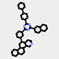 c1ccc(-c2ccc(-c3nc(-c4cccc(-c5cc6c7ccccc7ccc6c6cnccc56)c4)nc(-c4ccc5ccccc5c4)n3)cc2)cc1